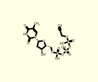 C#CCOP(=O)(O)OP(=O)(O)OP(=O)(O)OC[C@H]1O[C@@H](n2cc(C)c(=O)[nH]c2=O)C[C@@H]1O